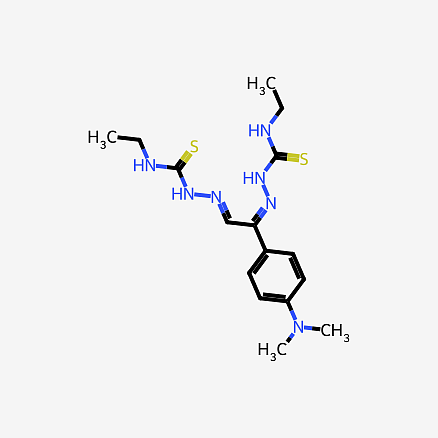 CCNC(=S)N/N=C(\C=N\NC(=S)NCC)c1ccc(N(C)C)cc1